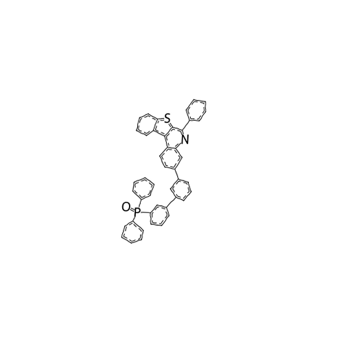 O=P(c1ccccc1)(c1ccccc1)c1cccc(-c2cccc(-c3ccc4c(c3)nc(-c3ccccc3)c3sc5ccccc5c34)c2)c1